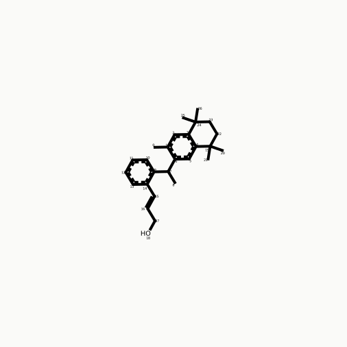 Cc1cc2c(cc1C(C)c1ccccc1C=CCO)C(C)(C)CCC2(C)C